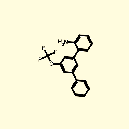 Nc1ccccc1-c1cc(OC(F)(F)F)cc(-c2ccccc2)c1